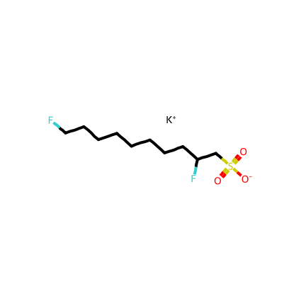 O=S(=O)([O-])CC(F)CCCCCCCCF.[K+]